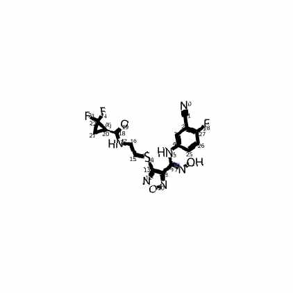 N#Cc1cc(N/C(=N\O)c2nonc2SCCNC(=O)[C@H]2CC2(F)F)ccc1F